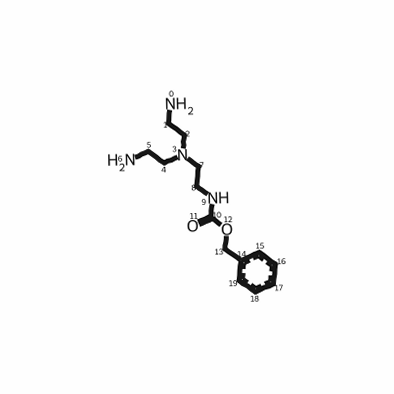 NCCN(CCN)CCNC(=O)OCc1ccccc1